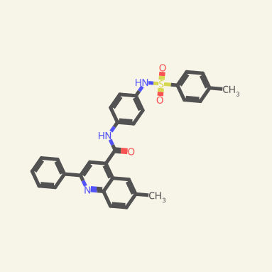 Cc1ccc(S(=O)(=O)Nc2ccc(NC(=O)c3cc(-c4ccccc4)nc4ccc(C)cc34)cc2)cc1